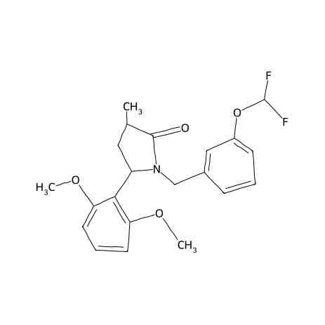 COc1cccc(OC)c1C1CC(C)C(=O)N1Cc1cccc(OC(F)F)c1